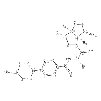 CCCN1CCN(c2ccc(C(=O)N[C@H](C(=O)N3C[C@H](CC)[C@H]4OCC(=O)[C@H]43)[C@@H](C)CC)cc2)CC1